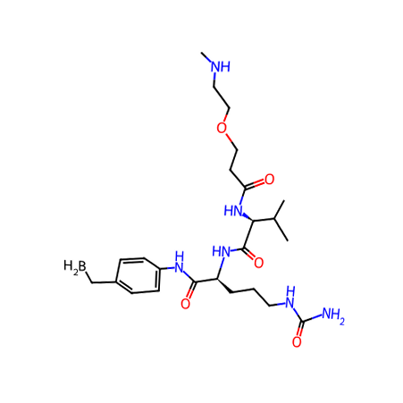 BCc1ccc(NC(=O)[C@H](CCCNC(N)=O)NC(=O)[C@@H](NC(=O)CCOCCNC)C(C)C)cc1